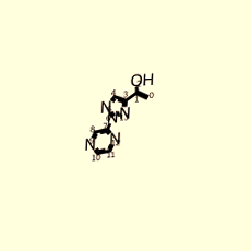 C=C(O)c1cnn(-c2cnccn2)n1